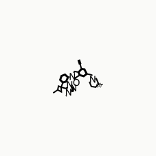 C#Cc1cc(CN2CCC[C@H](C)C2)cc2c1CN(c1cccc(C3(c4nncn4C)CC(C)C3)c1)C2=O